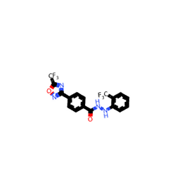 O=C(NNc1ccccc1C(F)(F)F)c1ccc(-c2noc(C(F)(F)F)n2)cc1